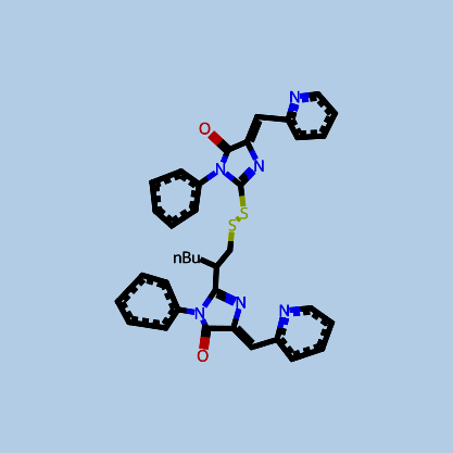 [CH2]CCCC(CSSC1=N/C(=C\c2ccccn2)C(=O)N1c1ccccc1)C1=N/C(=C\c2ccccn2)C(=O)N1c1ccccc1